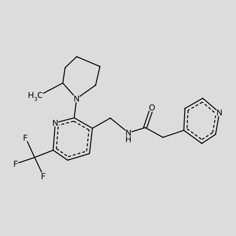 CC1CCCCN1c1nc(C(F)(F)F)ccc1CNC(=O)Cc1ccncc1